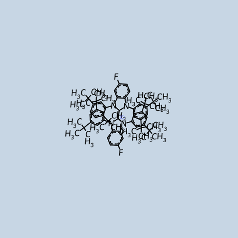 CC(C)(C)c1cc(N2/C(=C3/N(c4cc(C(C)(C)C)cc(C(C)(C)C)c4)c4ccc(F)cc4N3c3cc(C(C)(C)C)ccc3C(C)(C)C)N(c3cc(C(C)(C)C)cc(C(C)(C)C)c3)c3cc(F)ccc32)cc(C(C)(C)C)c1